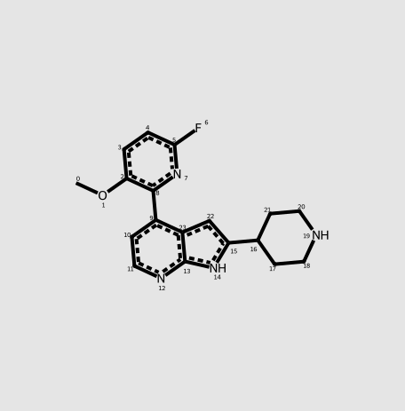 COc1ccc(F)nc1-c1ccnc2[nH]c(C3CCNCC3)cc12